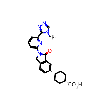 CC(C)n1cnnc1-c1cccc(N2Cc3ccc([C@H]4CC[C@@H](C(=O)O)CC4)cc3C2=O)n1